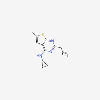 Cc1cc2c(NC3CC3)nc(CC(F)(F)F)nc2s1